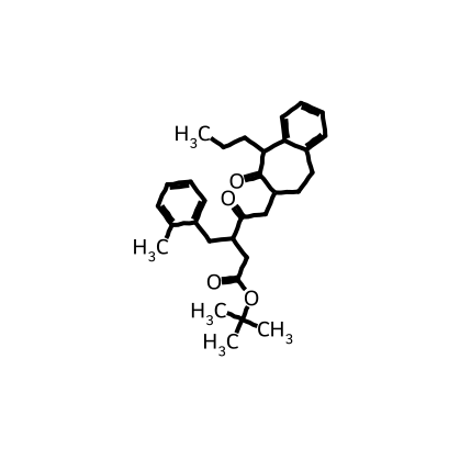 CCCC1C(=O)C(CC(=O)C(CC(=O)OC(C)(C)C)Cc2ccccc2C)CCc2ccccc21